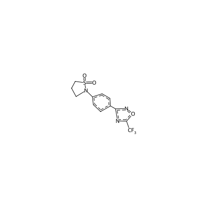 O=S1(=O)CCCN1c1ccc(-c2noc(C(F)(F)F)n2)cc1